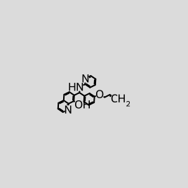 C=CCOc1cccc(C(Nc2ccccn2)c2ccc3cccnc3c2O)c1